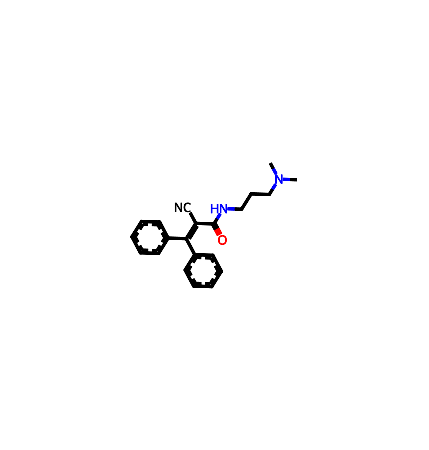 CN(C)CCCNC(=O)C(C#N)=C(c1ccccc1)c1ccccc1